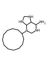 NC1NCN(C2CCCCCCCCCCC2)C2NCNC12